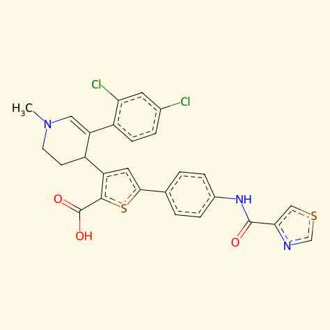 CN1C=C(c2ccc(Cl)cc2Cl)C(c2cc(-c3ccc(NC(=O)c4cscn4)cc3)sc2C(=O)O)CC1